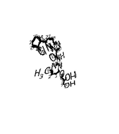 CC1=CCC(OCC(O)CO)=NC(NC(=O)c2cnc3ccc(-c4ccccc4Cl)nn23)=N1